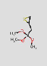 CO[Si](CC1CS1)(OC)OC